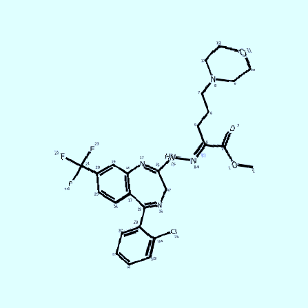 COC(=O)/C(CCCN1CCOCC1)=N/NC1=Nc2cc(C(F)(F)F)ccc2C(c2ccccc2Cl)=NC1